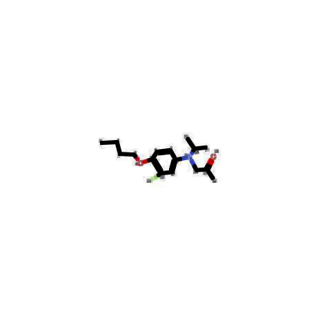 CCCCOc1ccc(N(CC(C)=O)C(C)C)cc1F